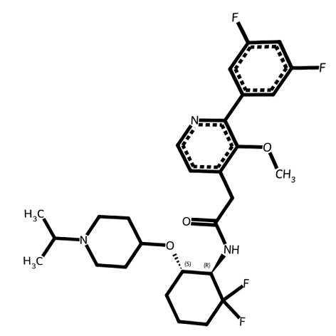 COc1c(CC(=O)N[C@@H]2[C@@H](OC3CCN(C(C)C)CC3)CCCC2(F)F)ccnc1-c1cc(F)cc(F)c1